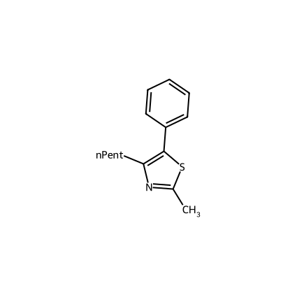 [CH2]CCCCc1nc(C)sc1-c1ccccc1